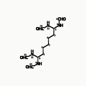 O=CNC(CCCCCC(NC=O)NC=O)NC=O